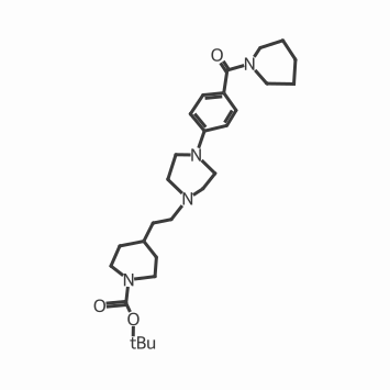 CC(C)(C)OC(=O)N1CCC(CCN2CCN(c3ccc(C(=O)N4CCCCC4)cc3)CC2)CC1